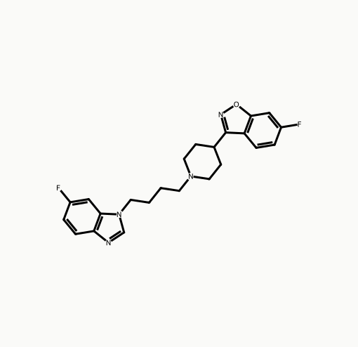 Fc1ccc2c(C3CCN(CCCCn4cnc5ccc(F)cc54)CC3)noc2c1